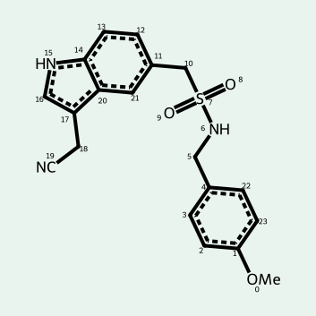 COc1ccc(CNS(=O)(=O)Cc2ccc3[nH]cc(CC#N)c3c2)cc1